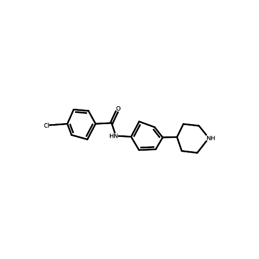 O=C(Nc1ccc(C2CCNCC2)cc1)c1ccc(Cl)cc1